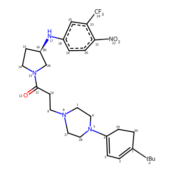 CC(C)(C)C1=CC=C(N2CCN(CCC(=O)N3CC[C@@H](Nc4ccc([N+](=O)[O-])c(C(F)(F)F)c4)C3)CC2)CC1